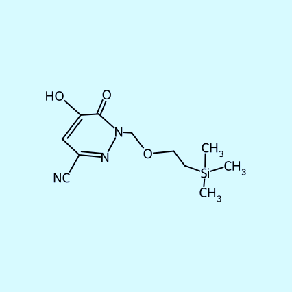 C[Si](C)(C)CCOCn1nc(C#N)cc(O)c1=O